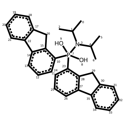 CC(C)N(C(C)C)P(O)(O)(c1cccc2c1Cc1ccccc1-2)c1cccc2c1Cc1ccccc1-2